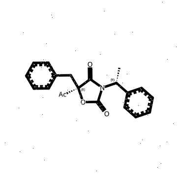 CC(=O)[C@@]1(Cc2ccccc2)OC(=O)N([C@H](C)c2ccccc2)C1=O